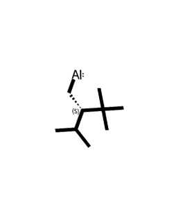 CC(C)[C@H]([CH2][Al])C(C)(C)C